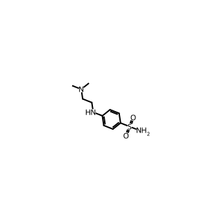 CN(C)CCNc1ccc(S(N)(=O)=O)cc1